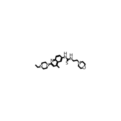 CCN1CCN(c2cc(C)c3cc(NC(=S)NCCN4CCOCC4)ccc3n2)CC1